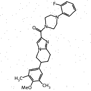 COc1c(C)cc(C2CCc3nc(C(=O)N4CCN(c5ccccc5F)CC4)cn3C2)cc1C